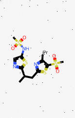 CC(C)c1nc(CC(C)c2ncc(NS(C)(=O)=O)s2)sc1S(C)(=O)=O